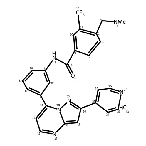 CNCc1ccc(C(=O)Nc2cccc(-c3ccnc4cc(-c5ccncc5)nn34)c2)cc1C(F)(F)F.Cl